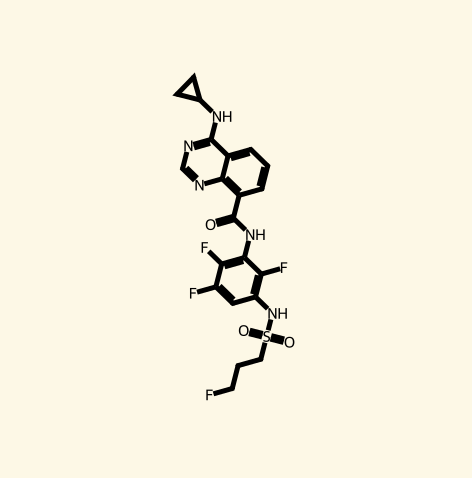 O=C(Nc1c(F)c(F)cc(NS(=O)(=O)CCCF)c1F)c1cccc2c(NC3CC3)ncnc12